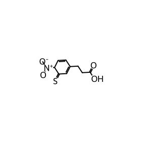 O=C(O)CCC1=CC(=S)C([N+](=O)[O-])C=C1